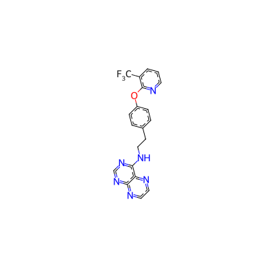 FC(F)(F)c1cccnc1Oc1ccc(CCNc2ncnc3nccnc23)cc1